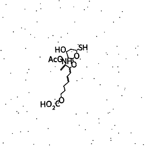 C=C(NOC(C)=O)/C(=C\C=C\CCCOC(=O)O)O[C@H]1C[C@@H](O)C[C@@H](S)O1